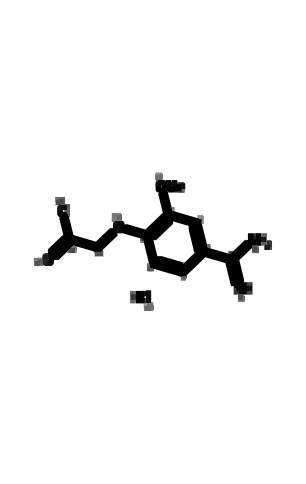 COc1cc(C(=N)N)ccc1OCC(=O)Cl.Cl